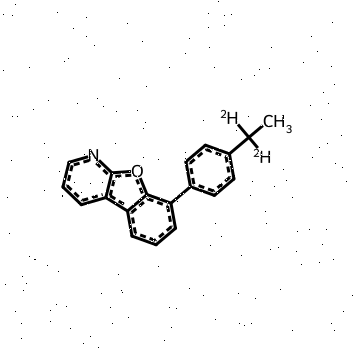 [2H]C([2H])(C)c1ccc(-c2cccc3c2oc2ncccc23)cc1